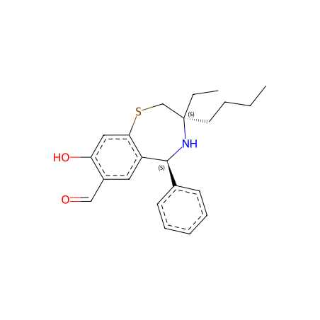 CCCC[C@@]1(CC)CSc2cc(O)c(C=O)cc2[C@H](c2ccccc2)N1